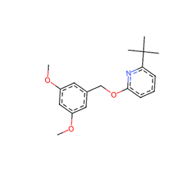 COc1cc(COc2cccc(C(C)(C)C)n2)cc(OC)c1